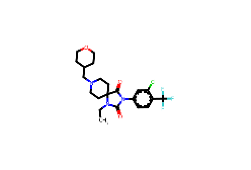 CCN1C(=O)N(c2ccc(C(F)(F)F)c(Cl)c2)C(=O)C12CCN(CC1CCOCC1)CC2